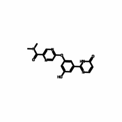 CN(C)C(=O)c1cnc(Oc2cc(O)cc(-c3nccc(=O)[nH]3)c2)cn1